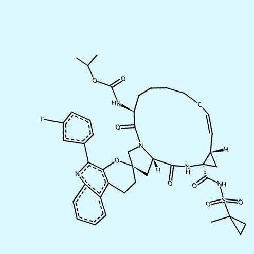 CC(C)OC(=O)N[C@H]1CCCCC/C=C\[C@@H]2C[C@@]2(C(=O)NS(=O)(=O)C2(C)CC2)NC(=O)[C@@H]2C[C@]3(CCc4c(c(-c5cccc(F)c5)nc5ccccc45)O3)CN2C1=O